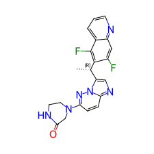 C[C@H](c1c(F)cc2ncccc2c1F)c1cnc2ccc(N3CCNC(=O)C3)nn12